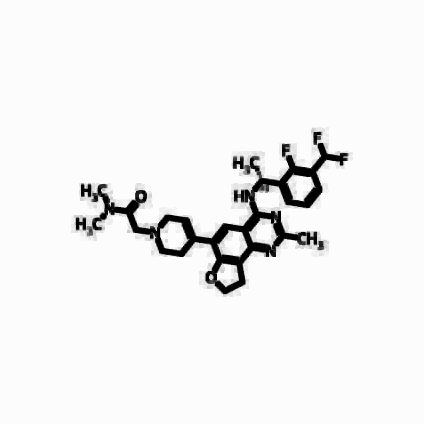 Cc1nc(N[C@H](C)c2cccc(C(F)F)c2F)c2cc(C3=CCN(CC(=O)N(C)C)CC3)c3c(c2n1)CCO3